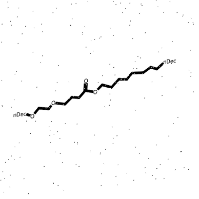 CCCCCCCCCCCCCCCCCCOC(=O)CCCOCCOCCCCCCCCCC